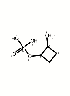 [CH2]C1CCC1OP(=O)(O)O